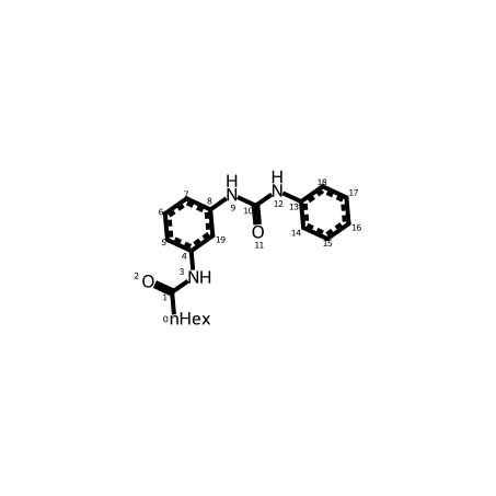 CCCCCCC(=O)Nc1cccc(NC(=O)Nc2ccccc2)c1